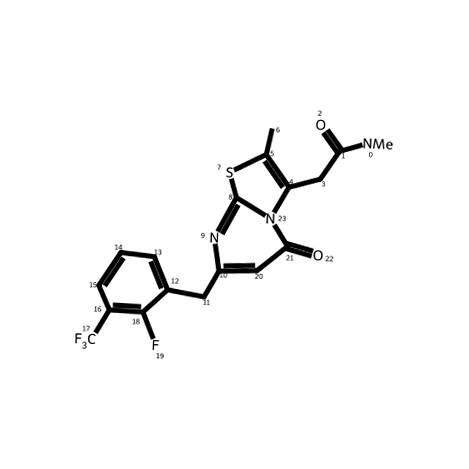 CNC(=O)Cc1c(C)sc2nc(Cc3cccc(C(F)(F)F)c3F)cc(=O)n12